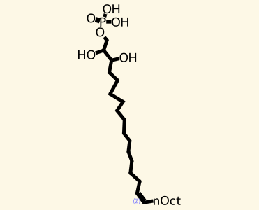 CCCCCCCC/C=C\CCCCCCCCCCCCC(O)C(O)COP(=O)(O)O